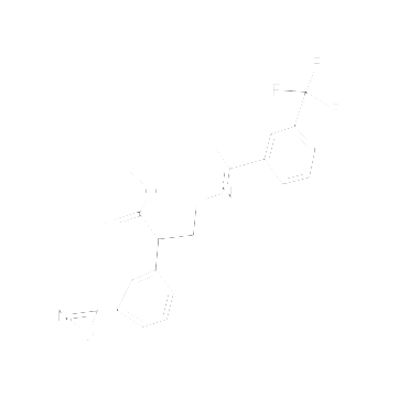 C1=NO1.COC(=O)C(CON=C(C)c1cccc(C(F)(F)F)c1)c1ccccc1